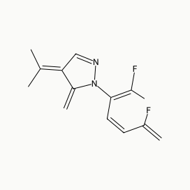 C=C(F)/C=C\C(=C(/C)F)n1ncc(=C(C)C)c1=C